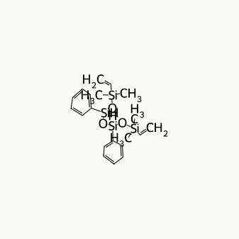 C=C[Si](C)(C)O[SiH](O[SiH](O[Si](C)(C)C=C)c1ccccc1)c1ccccc1